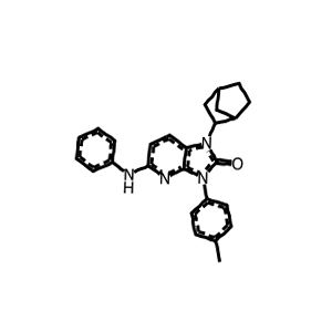 Cc1ccc(-n2c(=O)n(C3CC4CCC3C4)c3ccc(Nc4ccccc4)nc32)cc1